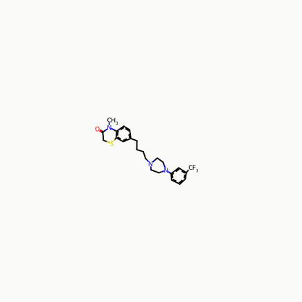 CN1C(=O)CSc2cc(CCCCN3CCN(c4cccc(C(F)(F)F)c4)CC3)ccc21